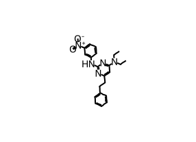 CCN(CC)c1cc(CCc2ccccc2)nc(Nc2cccc([N+](=O)[O-])c2)n1